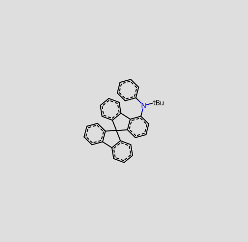 CC(C)(C)N(c1ccccc1)c1cccc2c1-c1ccccc1C21c2ccccc2-c2ccccc21